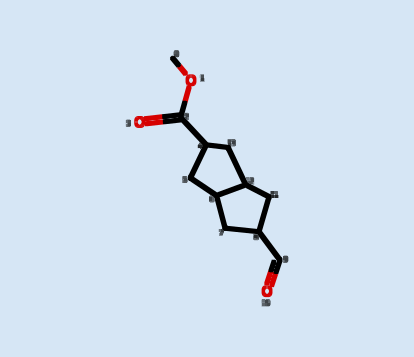 COC(=O)C1CC2CC(C=O)CC2C1